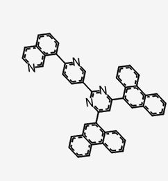 c1cc(-c2ccc(-c3nc(-c4cc5ccccc5c5ccccc45)cc(-c4cc5ccccc5c5ccccc45)n3)cn2)c2cnccc2c1